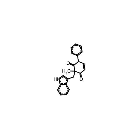 CC1(Cc2c[nH]c3ccccc23)C(=O)C=CC(c2ccccc2)C1=O